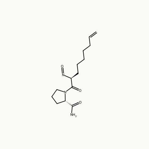 C=CCCCCC[C@H](N=O)C(=O)N1CCC[C@H]1C(N)=O